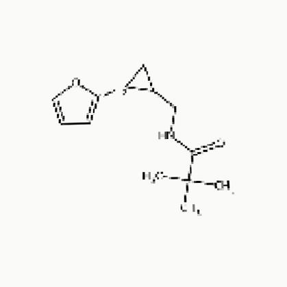 CC(C)(C)C(=O)NCC1C[C@H]1c1ccco1